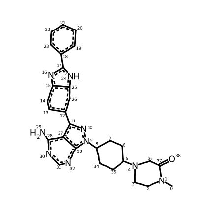 CN1CCN(C2CCC(n3nc(-c4ccc5nc(-c6ccccc6)[nH]c5c4)c4c(N)ncnc43)CC2)CC1=O